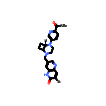 CCc1cc2ncc(CN3CCN(c4ccc(C(=O)NC)nc4)[C@@H]4CCC43)cc2[nH]c1=O